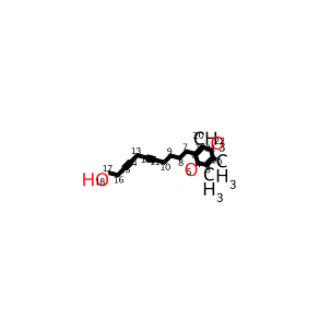 CC1=C(C)C(=O)C(CCCCC#CCC#CCCO)=C(C)C1=O